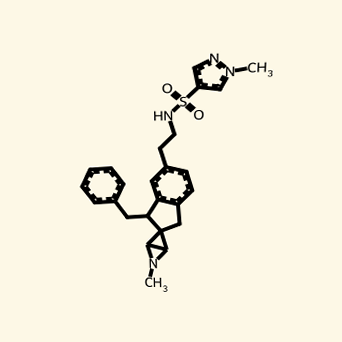 CN1C2C1C21Cc2ccc(CCNS(=O)(=O)c3cnn(C)c3)cc2C1Cc1ccccc1